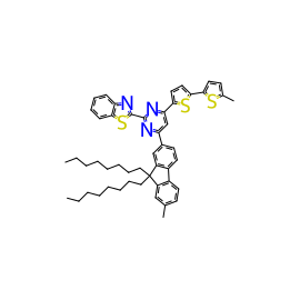 CCCCCCCCC1(CCCCCCCC)c2cc(C)ccc2-c2ccc(-c3cc(-c4ccc(-c5ccc(C)s5)s4)nc(-c4nc5ccccc5s4)n3)cc21